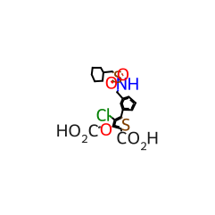 O=C(O)COc1c(C(=O)O)sc(-c2cccc(CNS(=O)(=O)CC3CCCCC3)c2)c1Cl